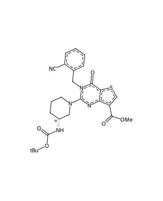 COC(=O)c1csc2c(=O)n(Cc3ccccc3C#N)c(N3CCC[C@@H](NC(=O)OC(C)(C)C)C3)nc12